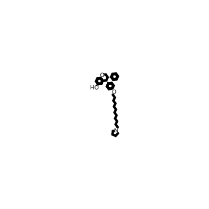 Oc1ccc2c(c1)[C@@H](c1ccc(OCCCCCCCCCCCCN3CCCC3)cc1)[C@@H](c1ccccc1)CO2